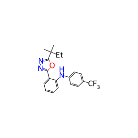 CCC(C)(C)c1nnc(-c2ccccc2Nc2ccc(C(F)(F)F)cc2)o1